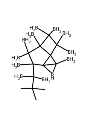 BC(B)(C(C)(C)C)C1(B)C(B)(B)C2(B)C(B)(B)C(B)(B)C23C2(B)BC213